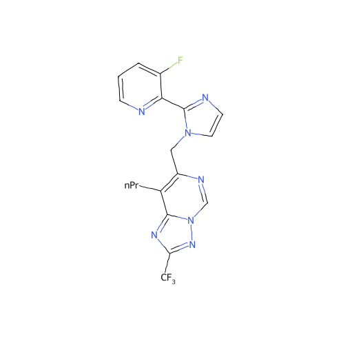 CCCc1c(Cn2ccnc2-c2ncccc2F)ncn2nc(C(F)(F)F)nc12